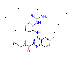 Cc1ccc2nc(C(=O)NCC(C)C)nc(N[C@H]3CCCC[C@H]3NC(=N)N)c2c1